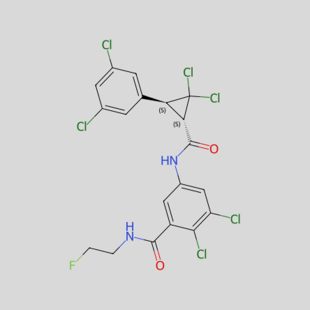 O=C(NCCF)c1cc(NC(=O)[C@@H]2[C@@H](c3cc(Cl)cc(Cl)c3)C2(Cl)Cl)cc(Cl)c1Cl